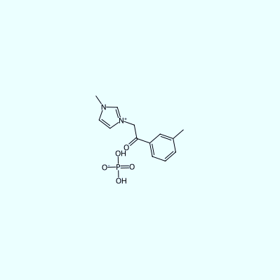 Cc1cccc(C(=O)C[n+]2ccn(C)c2)c1.O=P([O-])(O)O